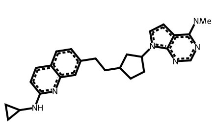 CNc1ncnc2c1ccn2C1CCC(CCc2ccc3ccc(NC4CC4)nc3c2)C1